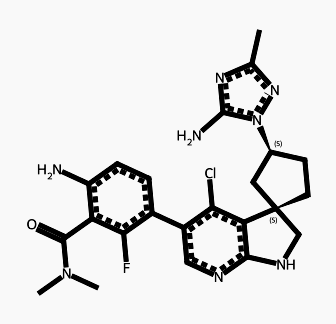 Cc1nc(N)n([C@H]2CC[C@]3(CNc4ncc(-c5ccc(N)c(C(=O)N(C)C)c5F)c(Cl)c43)C2)n1